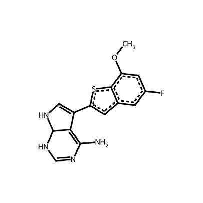 COc1cc(F)cc2cc(C3=CNC4NC=NC(N)=C34)sc12